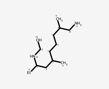 CCC(CC(C)CCCC(C)CN)NCO